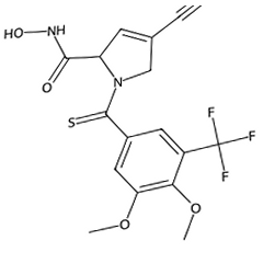 C#CC1=CC(C(=O)NO)N(C(=S)c2cc(OC)c(OC)c(C(F)(F)F)c2)C1